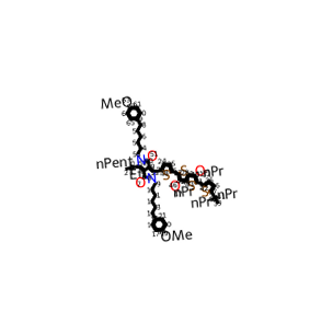 CCCCCC(C)(CC)C1=C2C(=O)N(CCCCCCc3ccc(OC)cc3)C(c3ccc(-c4sc5c(OCCC)c(-c6ccc(C(C)(CCC)CCC)s6)sc5c4OCCC)s3)=C2C(=O)N1CCCCCCc1ccc(OC)cc1